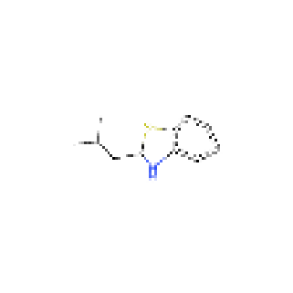 CC(C)CC1Nc2ccccc2S1